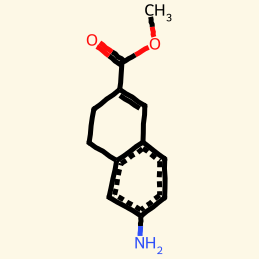 COC(=O)C1=Cc2ccc(N)cc2CC1